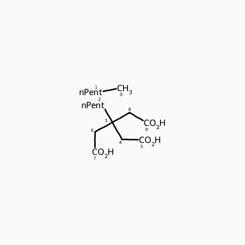 CCCCCC.CCCCCC(CC(=O)O)(CC(=O)O)CC(=O)O